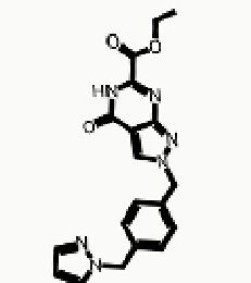 CCOC(=O)c1nc2nn(Cc3ccc(Cn4cccn4)cc3)cc2c(=O)[nH]1